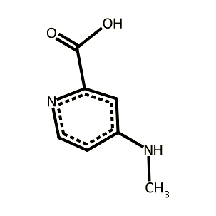 CNc1ccnc(C(=O)O)c1